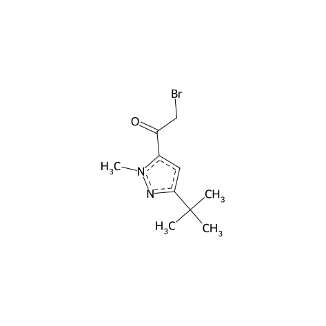 Cn1nc(C(C)(C)C)cc1C(=O)CBr